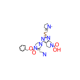 CN1CCC[C@H]1CSc1nc2c(c(N3CCN(C(=O)OCc4ccccc4)[C@@H](CC#N)C3)n1)CCN(C(=O)O)C2